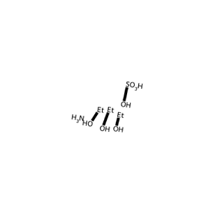 CCO.CCO.CCO.N.O=S(=O)(O)O